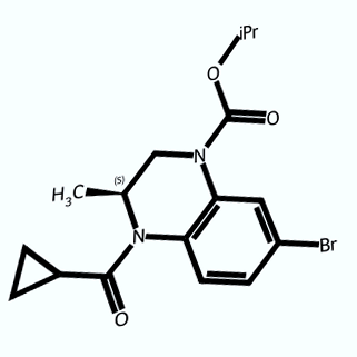 CC(C)OC(=O)N1C[C@H](C)N(C(=O)C2CC2)c2ccc(Br)cc21